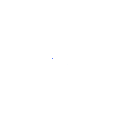 CC(C)(C)[S+]([O-])N[C@@H]1c2nncn2CC12CCNCC2